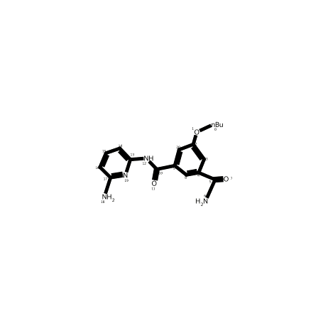 CCCCOc1cc(C(N)=O)cc(C(=O)Nc2cccc(N)n2)c1